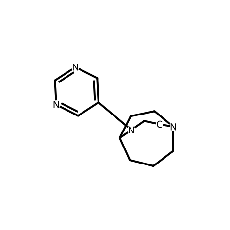 c1ncc(N2CCN3CCCC2CC3)cn1